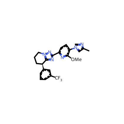 COc1nc(-c2nc3n(n2)CCC[C@@H]3c2cccc(C(F)(F)F)c2)ccc1-n1cnc(C)c1